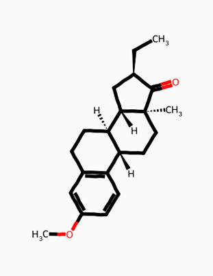 CC[C@@H]1C[C@H]2[C@@H]3CCc4cc(OC)ccc4[C@H]3CC[C@]2(C)C1=O